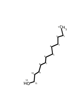 CCCCCCCCCC[CH]CO